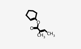 CC=C(C)C(=O)OC1=CCCCC1